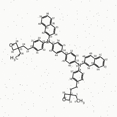 CCC1(CCc2ccc(N(c3ccc(-c4ccc(N(c5ccc(CCC6(CC)COC6)cc5)c5ccc6ccccc6c5)cc4)cc3)c3ccc4ccccc4c3)cc2)COC1